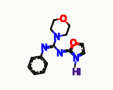 Cn1ccoc1=NC(=Nc1ccccc1)N1CCOCC1.I